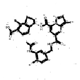 CC(=O)Nc1cc(CNC(=O)c2cc(C(=O)N[C@H]3CCc4c3ccc(C(=O)O)c4C)n3ncc(F)c3n2)ccc1F